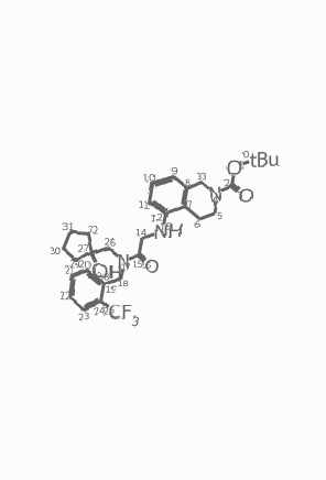 CC(C)(C)OC(=O)N1CCc2c(cccc2NCC(=O)N(Cc2ccccc2C(F)(F)F)CC2(O)CCCC2)C1